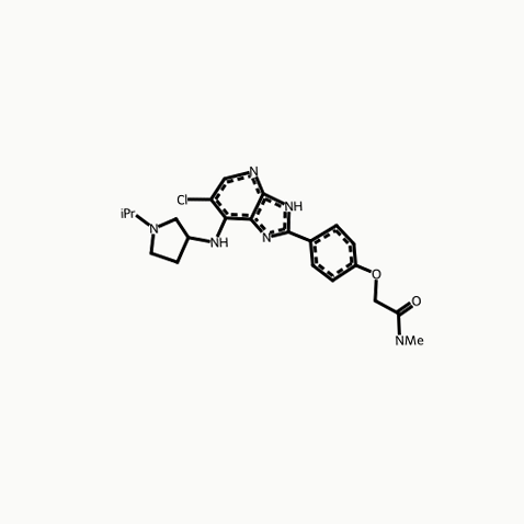 CNC(=O)COc1ccc(-c2nc3c(NC4CCN(C(C)C)C4)c(Cl)cnc3[nH]2)cc1